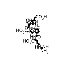 N=C(N)NCCC[C@@H](NC(=O)[C@@H]1CCCN1C(=O)[C@H](CC(=O)O)NC(=O)[C@@H](CO)NC(=O)[C@@H](N)CC(=O)O)C(=O)O